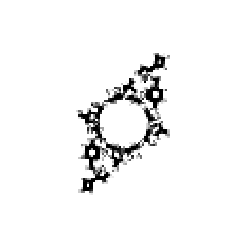 CC(C)C[C@H]1C(=O)O[C@H](Cc2ccc(Cn3nccc3C3CCC3)cc2)C(=O)N(C)[C@@H](CC(C)C)C(=O)O[C@H](C)C(=O)N(C)[C@@H](CC(C)C)C(=O)O[C@H](Cc2ccc(Cn3nccc3C3CCC3)cc2)C(=O)N(C)[C@@H](CC(C)C)C(=O)O[C@H](C)C(=O)N1C